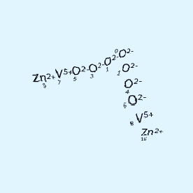 [O-2].[O-2].[O-2].[O-2].[O-2].[O-2].[O-2].[V+5].[V+5].[Zn+2].[Zn+2]